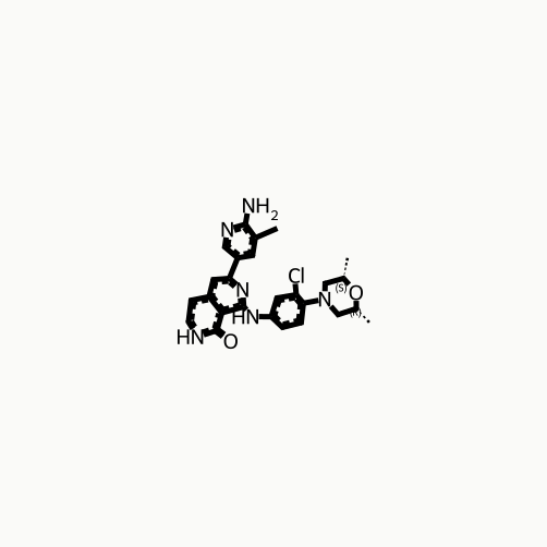 Cc1cc(-c2cc3cc[nH]c(=O)c3c(Nc3ccc(N4C[C@@H](C)O[C@@H](C)C4)c(Cl)c3)n2)cnc1N